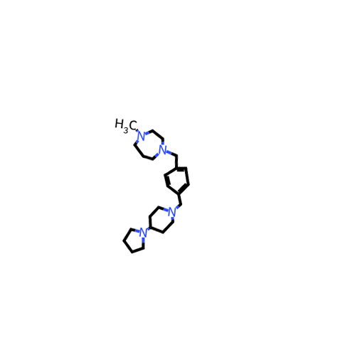 CN1CCCN(Cc2ccc(CN3CCC(N4CCCC4)CC3)cc2)CC1